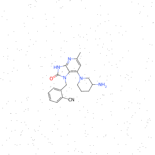 Cc1cc(N2CCCC(N)C2)c2c(n1)[nH]c(=O)n2Cc1ccccc1C#N